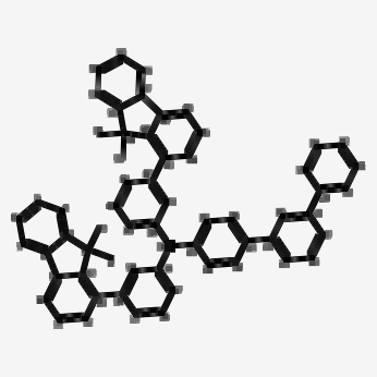 CC1(C)c2ccccc2-c2cccc(-c3cccc(N(c4ccc(-c5cccc(-c6ccccc6)c5)cc4)c4cccc(-c5cccc6c5C(C)(C)c5ccccc5-6)c4)c3)c21